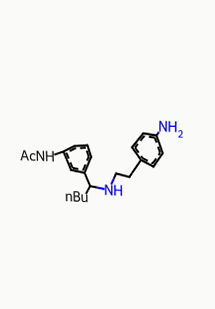 CCCCC(NCCc1ccc(N)cc1)c1cccc(NC(C)=O)c1